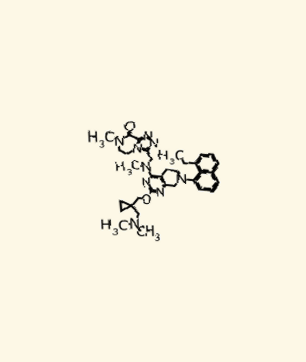 CCc1cccc2cccc(N3CCc4c(nc(OCC5(CN(C)C)CC5)nc4N(C)Cc4nnc5n4CCN(C)C5=O)C3)c12